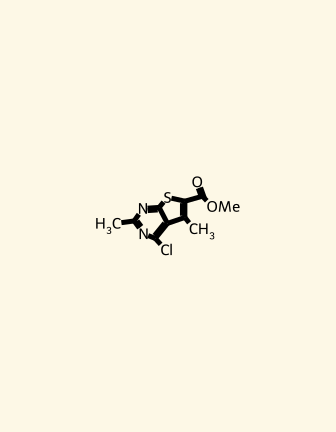 COC(=O)c1sc2nc(C)nc(Cl)c2c1C